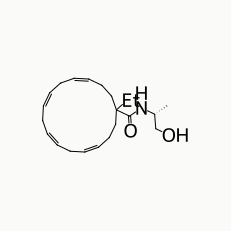 CCC1(C(=O)N[C@H](C)CO)CC/C=C\C/C=C\C/C=C\C/C=C\CC1